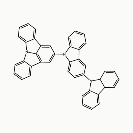 C1=CC2c3ccccc3N(c3ccc4c(c3)c3ccccc3n4-c3cc4c5ccccc5n5c6ccccc6c(c3)c45)C2C=C1